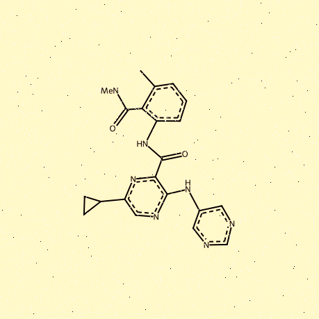 CNC(=O)c1c(C)cccc1NC(=O)c1nc(C2CC2)cnc1Nc1cncnc1